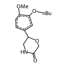 CCCCOc1cc(C2CNC(=O)CO2)ccc1OC